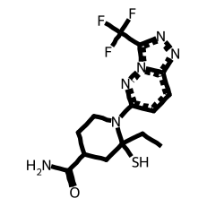 CCC1(S)CC(C(N)=O)CCN1c1ccc2nnc(C(F)(F)F)n2n1